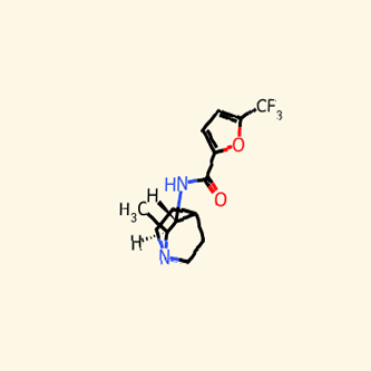 C[C@H]1[C@H](NC(=O)c2ccc(C(F)(F)F)o2)C2CCN1CC2